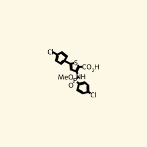 COP(=O)(Nc1cc(-c2ccc(Cl)cc2)sc1C(=O)O)c1ccc(Cl)cc1